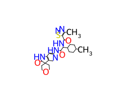 Cc1nnsc1C(=O)N[C@H](C(=O)Nc1cc2c(cn1)C1(CCOCC1)C(=O)N2)C1CCC(C)CC1